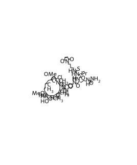 COc1cc2cc(c1Cl)N(C)C(=O)C[C@H](OC(=O)Nc1ccc(NC(=O)[C@H](CCCNC(N)=O)NC(=O)[C@@H](NC(=S)NCCCCN3C(=O)C=CC3=O)C(C)C)cc1Cl)[C@]1(C)O[C@H]1[C@H](C)[C@@H]1C[C@@](O)(NC(O)O1)[C@H](OC)/C=C/C=C(\C)C2